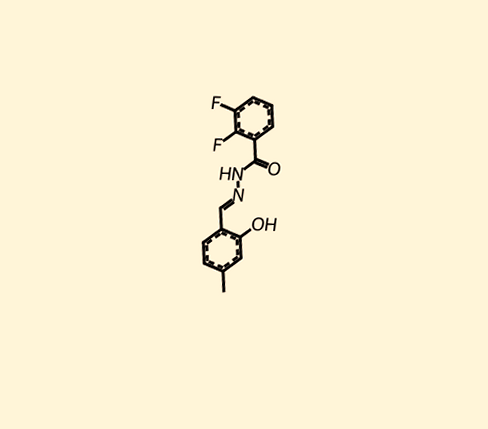 Cc1ccc(/C=N/NC(=O)c2cccc(F)c2F)c(O)c1